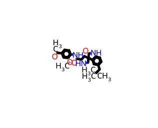 COc1cc(C(C)=O)ccc1NC(=O)C1CC2(CN1)C(=O)Nc1ccc(CC(C)(C)C)cc12